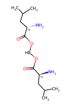 CC(C)C[C@H](N)C(=O)OBOC(=O)[C@@H](N)CC(C)C